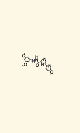 COc1ccc(-c2cncc(C(=O)N/N=C/c3cc(OC)cc(OC)c3)n2)nc1